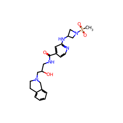 CS(=O)(=O)N1CC(Nc2cc(C(=O)NCC(O)CN3CCc4ccccc4C3)ccn2)C1